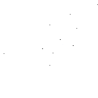 Fc1ccc(-c2cccn2-c2ccccc2)cc1